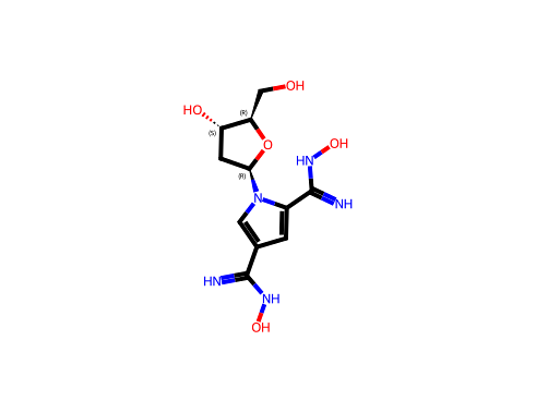 N=C(NO)c1cc(C(=N)NO)n([C@H]2C[C@H](O)[C@@H](CO)O2)c1